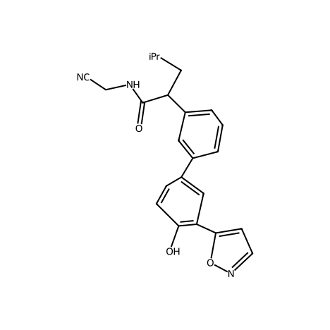 CC(C)CC(C(=O)NCC#N)c1cccc(-c2ccc(O)c(-c3ccno3)c2)c1